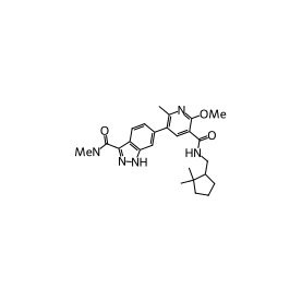 CNC(=O)c1n[nH]c2cc(-c3cc(C(=O)NCC4CCCC4(C)C)c(OC)nc3C)ccc12